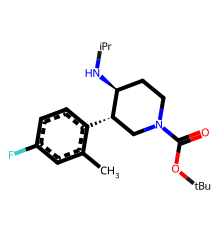 Cc1cc(F)ccc1[C@H]1CN(C(=O)OC(C)(C)C)CC[C@@H]1NC(C)C